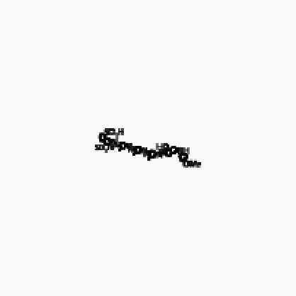 COc1ccc(Nc2ccc3c(O)c(N=Nc4ccc(N=Nc5ccc(N=Nc6ccc(N=Nc7cc8c(S(=O)(=O)O)cccc8cc7S(=O)(=O)O)c(C)c6)c(C)c5)c(C)c4)ccc3c2)cc1